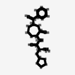 N[C@@H](CC1CCCC1)C(=O)NC1CCCN(C(=O)c2ccccc2)CC1=O